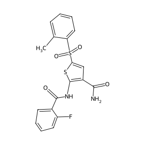 Cc1ccccc1S(=O)(=O)c1cc(C(N)=O)c(NC(=O)c2ccccc2F)s1